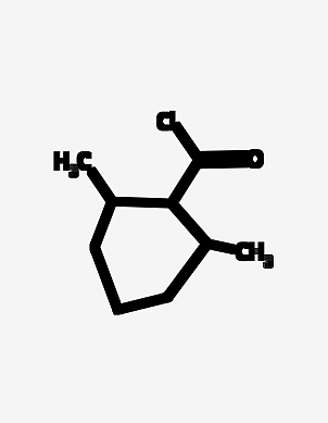 CC1CCCC(C)C1C(=O)Cl